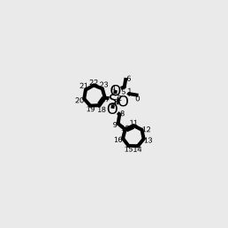 CCO[Si](OCC)(OCCC1=CCCCCC1)C1=CCCCCC1